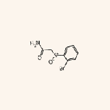 NC(=O)C[S+]([O-])c1ccccc1Br